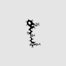 O=C(CCc1c[nH]c2ccccc12)NCCCc1cn(S)cn1